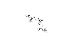 COC(=O)CCC[C@@H](C)CCC(N)=O